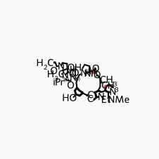 C=CC(=O)N1CCC(O)(C(=O)N(C)[C@H](C(=O)N[C@H]2Cc3cc(O)cc(c3)-c3ccc4c(c3)c(c(-c3cccnc3CNC)n4CC)CC(C)(C)COC(=O)[C@@H]3CCCN(N3)C2=O)C(C)C)C1